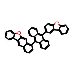 c1cc(-c2c3ccccc3c(-c3ccc4oc5ccccc5c4c3)c3ccccc23)c2cc3oc4ccccc4c3cc2c1